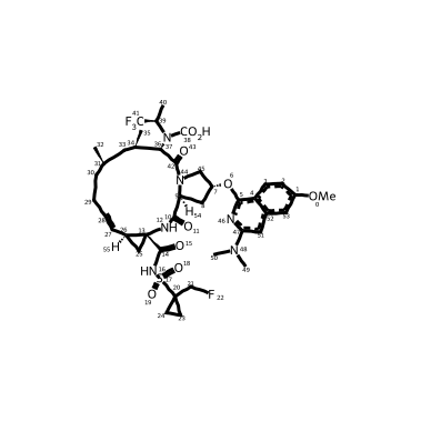 COc1ccc2c(O[C@@H]3C[C@H]4C(=O)N[C@]5(C(=O)NS(=O)(=O)C6(CF)CC6)C[C@H]5/C=C\CC[C@@H](C)C[C@@H](C)[C@H](N(C(=O)O)[C@H](C)C(F)(F)F)C(=O)N4C3)nc(N(C)C)cc2c1